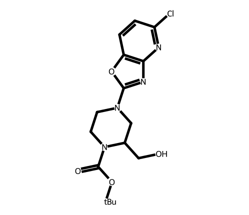 CC(C)(C)OC(=O)N1CCN(c2nc3nc(Cl)ccc3o2)CC1CO